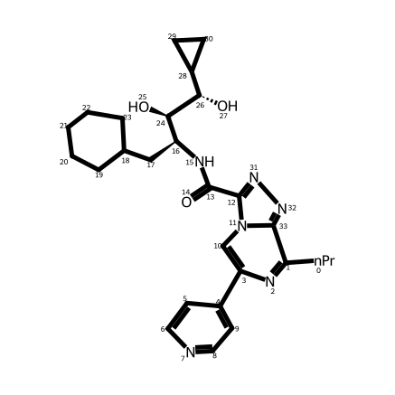 CCCc1nc(-c2ccncc2)cn2c(C(=O)N[C@@H](CC3CCCCC3)[C@@H](O)[C@@H](O)C3CC3)nnc12